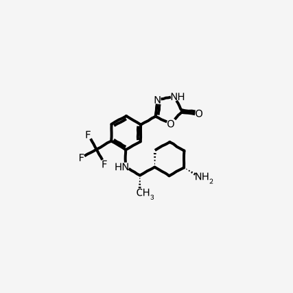 C[C@H](Nc1cc(-c2n[nH]c(=O)o2)ccc1C(F)(F)F)[C@@H]1CCC[C@H](N)C1